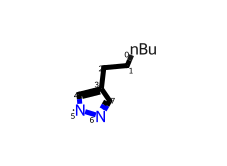 CCCCCCC1=C[N]N=C1